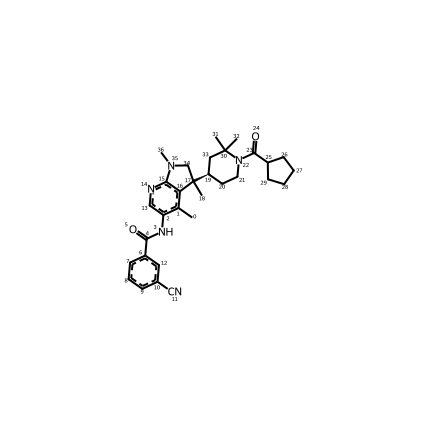 Cc1c(NC(=O)c2cccc(C#N)c2)cnc2c1C(C)([C@@H]1CCN(C(=O)C3CCCC3)C(C)(C)C1)CN2C